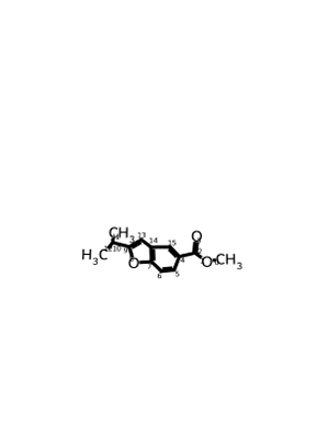 COC(=O)c1ccc2oc(C(C)C)cc2c1